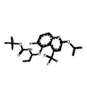 CCC(NC(=O)OC(C)(C)C)Oc1c(Br)ccc2nc(OC(C)C)cc(C(F)(F)F)c12